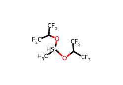 C[SiH](OC(C(F)(F)F)C(F)(F)F)OC(C(F)(F)F)C(F)(F)F